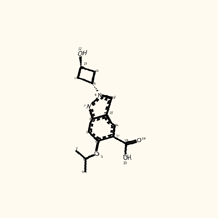 CC(C)Oc1cc2nn([C@H]3C[C@H](O)C3)cc2cc1C(=O)O